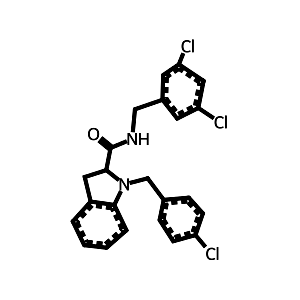 O=C(NCc1cc(Cl)cc(Cl)c1)C1Cc2ccccc2N1Cc1ccc(Cl)cc1